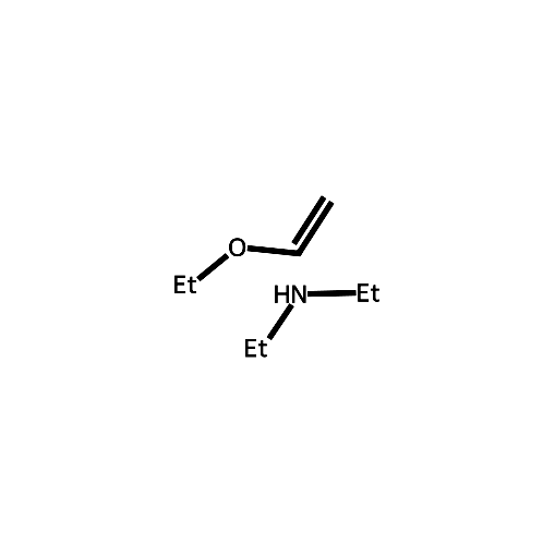 C=COCC.CCNCC